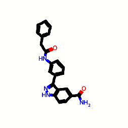 NC(=O)c1ccc2[nH]nc(-c3cccc(NC(=O)Cc4ccccc4)c3)c2c1